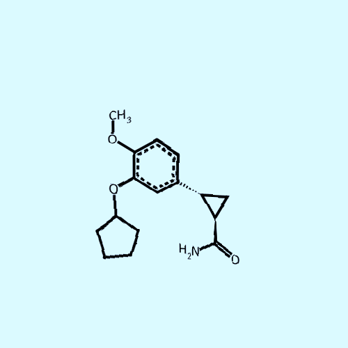 COc1ccc([C@@H]2C[C@H]2C(N)=O)cc1OC1CCCC1